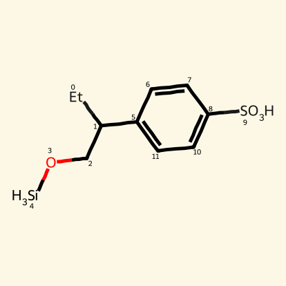 CCC(CO[SiH3])c1ccc(S(=O)(=O)O)cc1